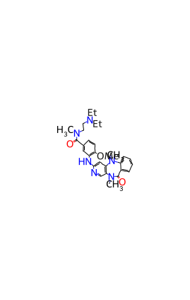 CCN(CC)CCN(C)C(=O)c1ccc(OC)c(Nc2cc3c(cn2)N(C)C(=O)c2ccccc2N3C)c1